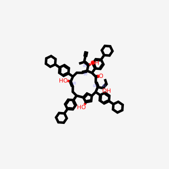 C#C/C(C)=C(O)/C1=C\CC(c2ccc(C3CCCCC3)cc2)/C(O)=C/CC(c2ccc(C3CCCCC3)cc2)C2=CC(C=C2O)C(c2ccc(C3CCCCC3)cc2)C(/C(O)=C\C)=C/C(=O)C1c1ccc(C2CCCCC2)cc1